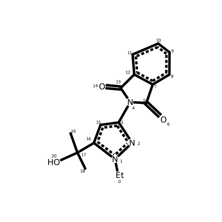 CCn1nc(N2C(=O)c3ccccc3C2=O)cc1C(C)(C)O